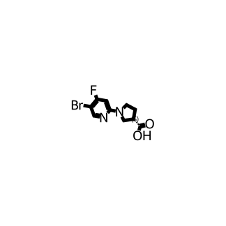 O=C(O)[C@H]1CCN(c2cc(F)c(Br)cn2)C1